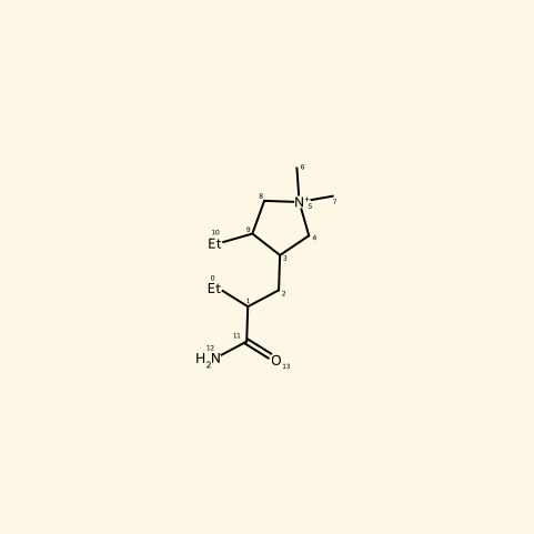 CCC(CC1C[N+](C)(C)CC1CC)C(N)=O